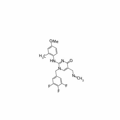 C=NCc1cn(Cc2cc(F)c(F)c(F)c2)c(Nc2ccc(OC)cc2C)nc1=O